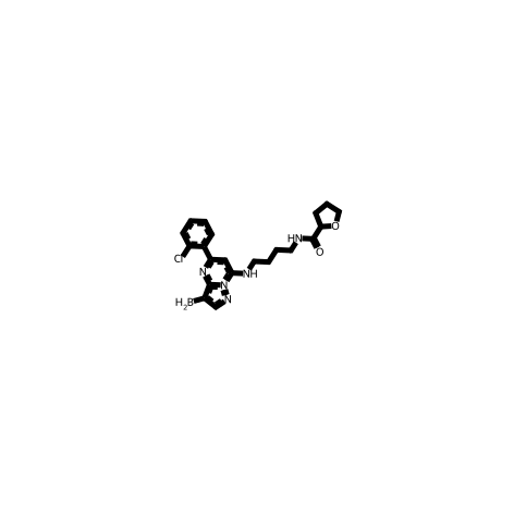 Bc1cnn2c(NCCCCNC(=O)C3CCCO3)cc(-c3ccccc3Cl)nc12